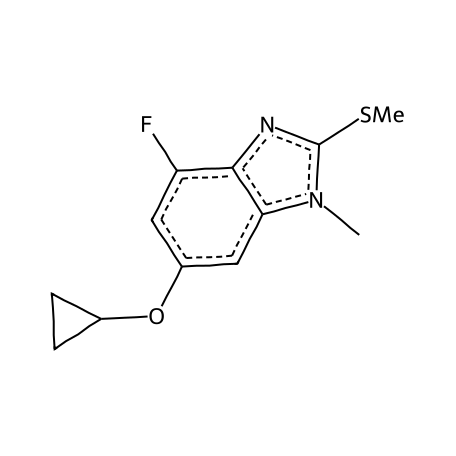 CSc1nc2c(F)cc(OC3CC3)cc2n1C